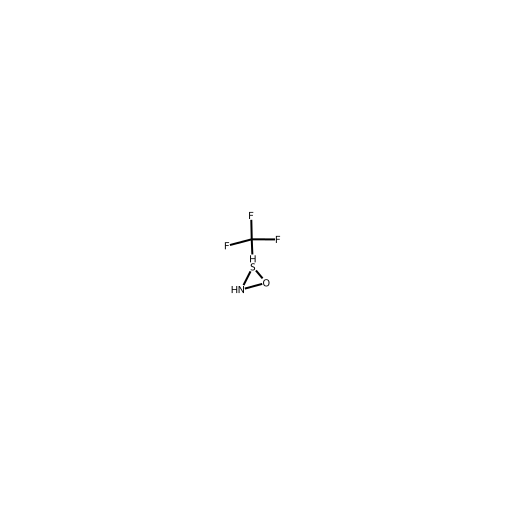 FC(F)(F)[SH]1NO1